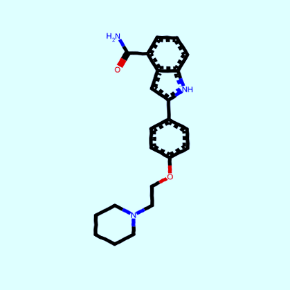 NC(=O)c1cccc2[nH]c(-c3ccc(OCCN4CCCCC4)cc3)cc12